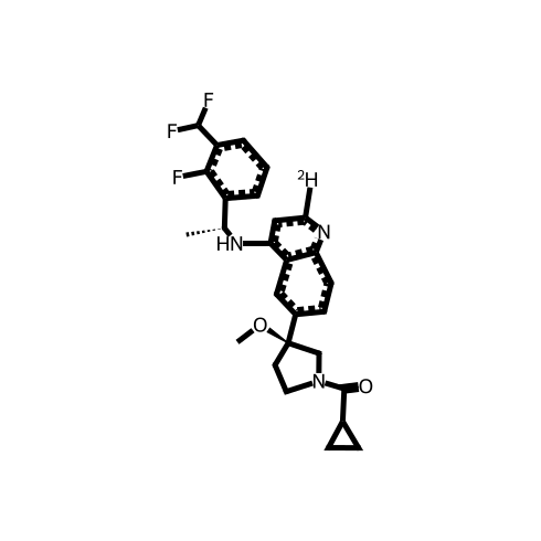 [2H]c1cc(N[C@H](C)c2cccc(C(F)F)c2F)c2cc([C@@]3(OC)CCN(C(=O)C4CC4)C3)ccc2n1